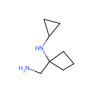 NCC1(NC2CC2)CCC1